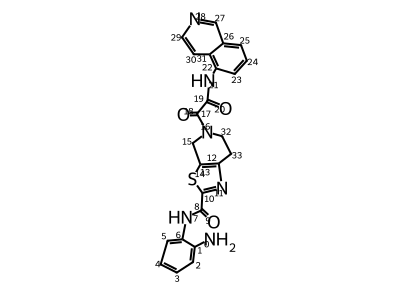 Nc1ccccc1NC(=O)c1nc2c(s1)CN(C(=O)C(=O)Nc1cccc3cnccc13)CC2